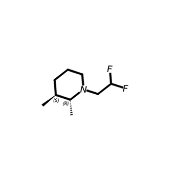 C[C@@H]1[C@@H](C)CCCN1CC(F)F